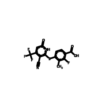 Cc1c(Sc2[nH]c(=O)cc(C(F)(F)F)c2C#N)ccc(C(=O)O)c1F